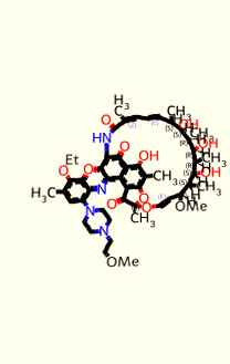 CCOc1c(C)cc(N2CCN(CCOC)CC2)c2nc3c4c5c6c(C)c(O)c4c(=O)c(c-3oc12)NC(=O)/C(C)=C\C=C\[C@H](C)[C@H](O)[C@@H](C)[C@@H](O)[C@@H](C)[C@H](O)[C@H](C)[C@@H](OC)/C=C/O[C@@](C)(O6)C5=O